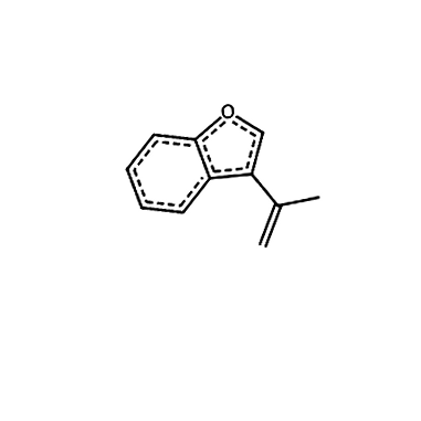 C=C(C)c1coc2ccccc12